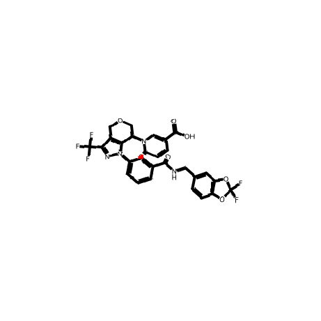 O=C(O)c1ccc(=O)n(C2COCc3c(C(F)(F)F)nn(-c4cccc(C(=O)NCc5ccc6c(c5)OC(F)(F)O6)c4)c32)c1